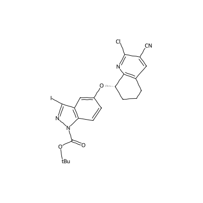 CC(C)(C)OC(=O)n1nc(I)c2cc(O[C@H]3CCCc4cc(C#N)c(Cl)nc43)ccc21